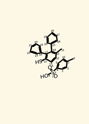 Cc1ccc(S(=O)(=O)O)cc1.Cc1ccc(S)c(-c2ccccc2)c1-c1ccccc1